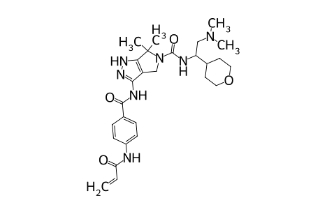 C=CC(=O)Nc1ccc(C(=O)Nc2n[nH]c3c2CN(C(=O)NC(CN(C)C)C2CCOCC2)C3(C)C)cc1